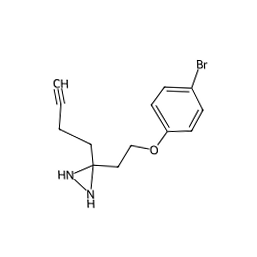 C#CCCC1(CCOc2ccc(Br)cc2)NN1